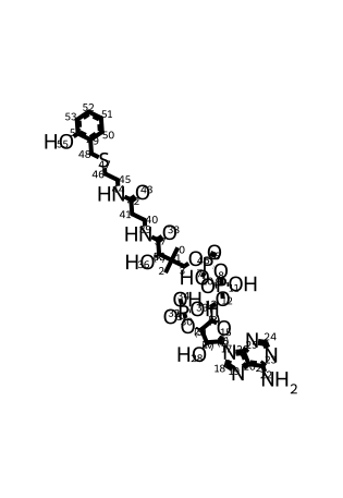 CC(C)(COP(=O)(O)OP(=O)(O)OC[C@H]1O[C@@H](n2cnc3c(N)ncnc32)[C@H](O)[C@@H]1OP(=O)(O)O)[C@@H](O)C(=O)NCCC(=O)NCCSCc1ccccc1O